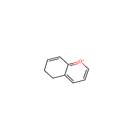 C1=Cc2[o+]cccc2CC1